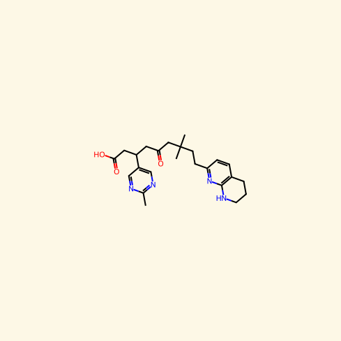 Cc1ncc(C(CC(=O)O)CC(=O)CC(C)(C)CCc2ccc3c(n2)NCCC3)cn1